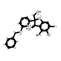 C=C1c2c(cc(F)c(Cl)c2Br)OC1(CO)c1cccc(OCc2ccccc2)n1